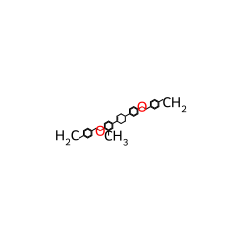 C=Cc1ccc(COc2ccc(C3CC=C(c4ccc(OCc5ccc(C=C)cc5)c(C)c4)CC3)cc2)cc1